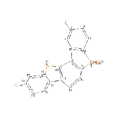 C#[SH]1c2ccc(C)cc2-c2c1ccc1c2sc2cc(C)ccc21